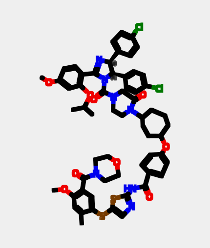 COc1ccc(C2=N[C@@H](c3ccc(Cl)cc3)[C@@H](c3ccc(Cl)cc3)N2C(=O)N2CCN(C3CCCC(Oc4ccc(C(=O)Nc5ncc(Sc6cc(C(=O)N7CCOCC7)c(OC)cc6C)s5)cc4)CC3)C(=O)C2)c(OC(C)C)c1